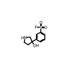 O=S(=O)(F)c1cccc(C2(O)CCNC2)c1